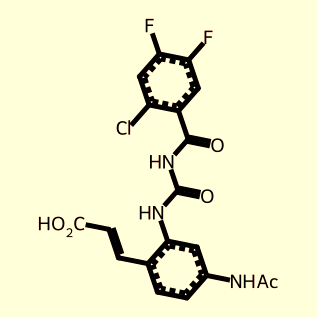 CC(=O)Nc1ccc(C=CC(=O)O)c(NC(=O)NC(=O)c2cc(F)c(F)cc2Cl)c1